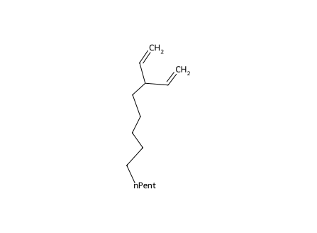 C=CC(C=C)CCCCCCCCCC